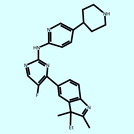 CCC1(C)C(C)=Nc2ccc(-c3nc(Nc4ccc(C5CCNCC5)cn4)ncc3F)cc21